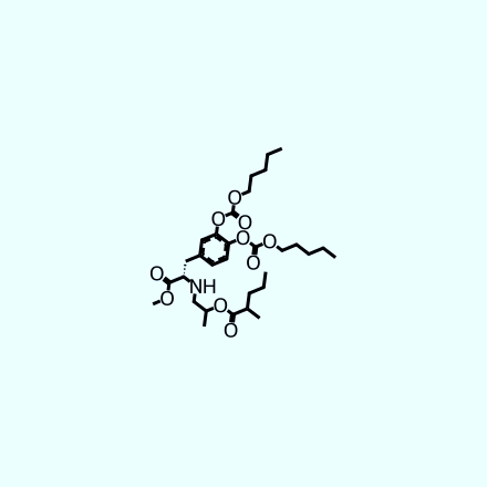 CCCCCOC(=O)Oc1ccc(C[C@H](NCC(C)OC(=O)C(C)CCC)C(=O)OC)cc1OC(=O)OCCCCC